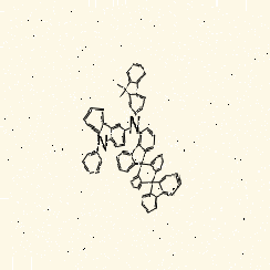 CC1(C)c2ccccc2-c2ccc(N(c3ccc4c(c3)c3ccccc3n4-c3ccccc3)c3cccc4c3-c3ccccc3C43c4ccccc4C4(c5ccccc5-c5ccccc54)c4ccccc43)cc21